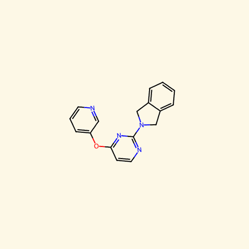 c1cncc(Oc2ccnc(N3Cc4ccccc4C3)n2)c1